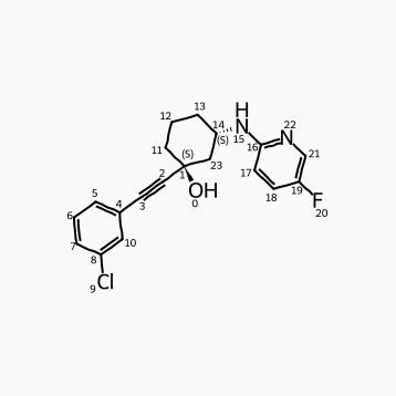 O[C@@]1(C#Cc2cccc(Cl)c2)CCC[C@H](Nc2ccc(F)cn2)C1